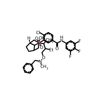 CCC(CON(C)Cc1ccccc1)C(C)[C@]1(O)CC2CC[C@H](C1)C2S(=O)(=O)c1cc(C(=O)Nc2cc(F)c(F)c(F)c2)ccc1Cl